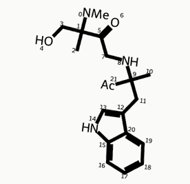 CNC(C)(CO)C(=O)CNC(C)(Cc1c[nH]c2ccccc12)C(C)=O